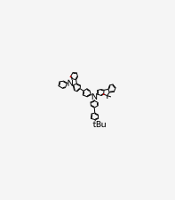 CC(C)(C)c1ccc(-c2ccc(N(c3ccc(-c4ccc5c(c4)c4ccccc4n5-c4ccccc4)cc3)c3ccc4c(c3)C(C)(C)c3ccccc3-4)cc2)cc1